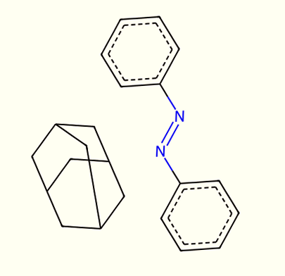 C1C2CC3CC1CC(C2)C3.c1ccc(N=Nc2ccccc2)cc1